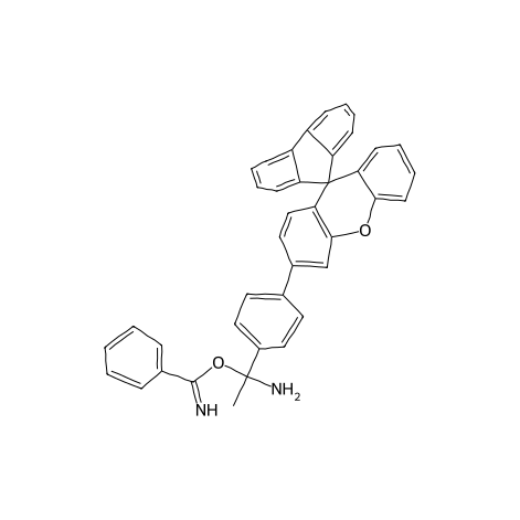 CC(N)(OC(=N)c1ccccc1)c1ccc(-c2ccc3c(c2)Oc2ccccc2C32c3ccccc3-c3ccccc32)cc1